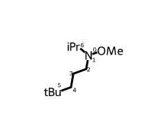 CON(CCCC(C)(C)C)C(C)C